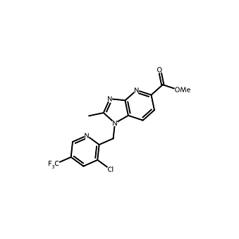 COC(=O)c1ccc2c(n1)nc(C)n2Cc1ncc(C(F)(F)F)cc1Cl